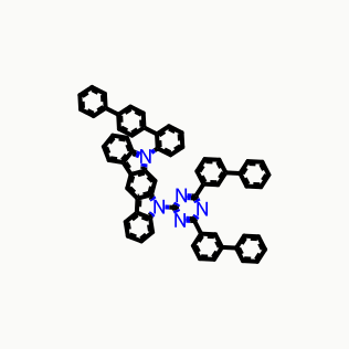 c1ccc(-c2ccc(-c3ccccc3-n3c4ccccc4c4cc5c6ccccc6n(-c6nc(-c7cccc(-c8ccccc8)c7)nc(-c7cccc(-c8ccccc8)c7)n6)c5cc43)cc2)cc1